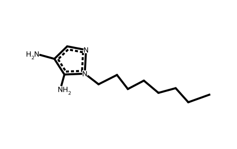 CCCCCCCCn1ncc(N)c1N